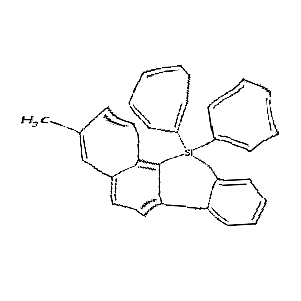 Cc1ccc2c3c(ccc2c1)-c1ccccc1[Si]3(c1ccccc1)c1ccccc1